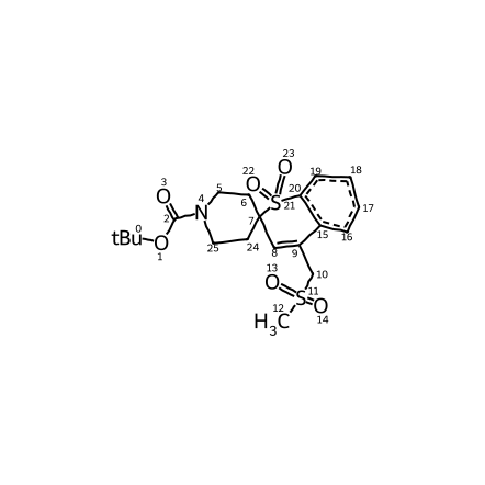 CC(C)(C)OC(=O)N1CCC2(C=C(CS(C)(=O)=O)c3ccccc3S2(=O)=O)CC1